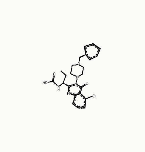 CCC(NC(=O)O)c1nc2cccc(Cl)c2c(=O)n1N1CCN(Cc2ccccc2)CC1